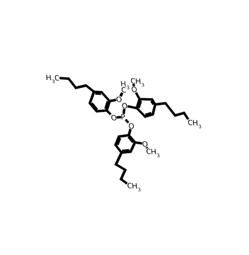 CCCCc1ccc(OP(Oc2ccc(CCCC)cc2OC)Oc2ccc(CCCC)cc2OC)c(OC)c1